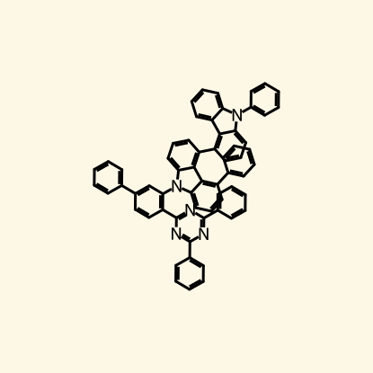 c1ccc(-c2ccc(-c3nc(-c4ccccc4)nc(-c4ccccc4)n3)c(-n3c4cccc(-c5ccccc5)c4c4c(-c5cccc6c5c5ccccc5n6-c5ccccc5)cccc43)c2)cc1